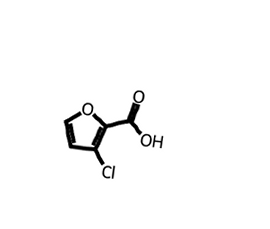 O=C(O)c1occc1Cl